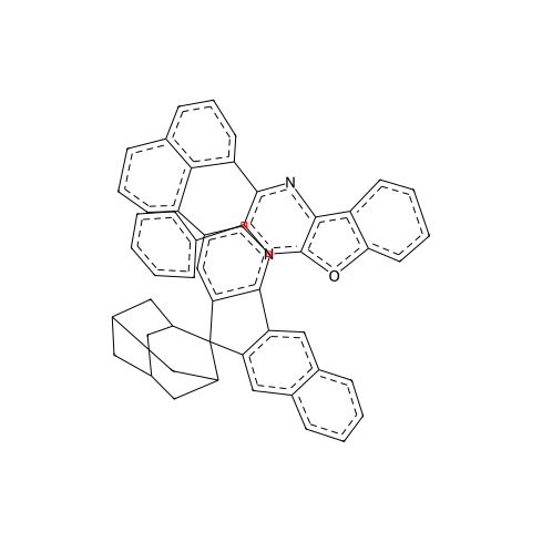 c1ccc(-c2nc3oc4ccccc4c3nc2-c2cccc3cccc(-c4ccc5c(c4)C4(c6cc7ccccc7cc6-5)C5CC6CC(C5)CC4C6)c23)cc1